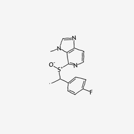 [CH2]C(c1ccc(F)cc1)[S+]([O-])c1nccc2ncn(C)c12